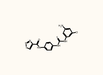 Nc1cc(Cl)cc(NC(=S)Nc2ccc(NC(=O)c3csnn3)cc2)c1